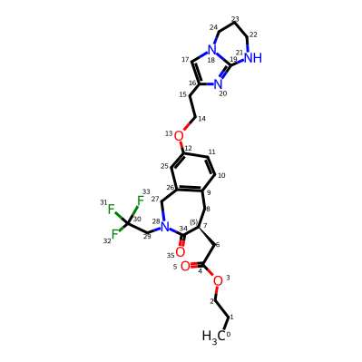 CCCOC(=O)C[C@@H]1Cc2ccc(OCCc3cn4c(n3)NCCC4)cc2CN(CC(F)(F)F)C1=O